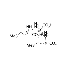 CC[C@H](C)[C@H](N)C(=O)O.CSCC[C@H](N)C(=O)O.CSCC[C@H](N)C(=O)O